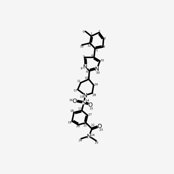 Cc1cccc(-c2cnc(C3CCN(S(=O)(=O)c4cccc(C(=O)N(C)C)c4)CC3)nc2)c1C